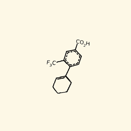 O=C(O)c1ccc(C2=CCCCC2)c(C(F)(F)F)c1